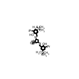 CC(=O)[O-].CC(=O)[O-].CC(C)c1cc([Si](C)(C)C)cc(C=NC2CCC(N=Cc3cc([Si](C)(C)C)cc(C(C)C)c3O)C2)c1O.[Co+2]